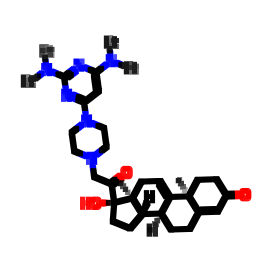 CCN(CC)c1cc(N2CCN(CC(=O)[C@@]3(O)CC[C@H]4[C@@H]5CCC6=CC(=O)CC[C@]6(C)C5=CC[C@@]43C)CC2)nc(N(CC)CC)n1